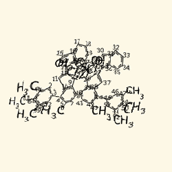 Cc1cc(-c2c(C)ccc3c2C=C(c2occ4ccccc24)[CH]3[Zr]([Cl])([Cl])([CH]2C(c3occ4ccccc34)=Cc3c2ccc(C)c3-c2cc(C)c(C)c(C)c2)=[Si](C)C)cc(C)c1C